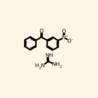 N=C(N)N.O=C(c1ccccc1)c1cccc([N+](=O)[O-])c1